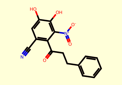 N#Cc1cc(O)c(O)c([N+](=O)[O-])c1C(=O)CCc1ccccc1